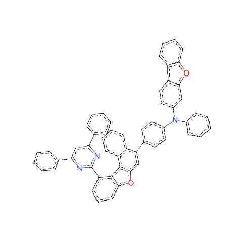 c1ccc(-c2cc(-c3ccccc3)nc(-c3cccc4oc5cc(-c6ccc(N(c7ccccc7)c7ccc8c(c7)oc7ccccc78)cc6)c6ccccc6c5c34)n2)cc1